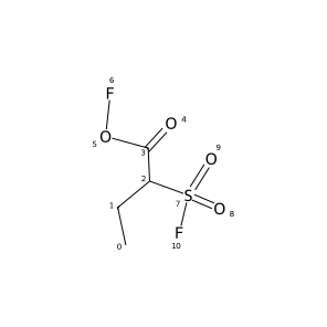 CCC(C(=O)OF)S(=O)(=O)F